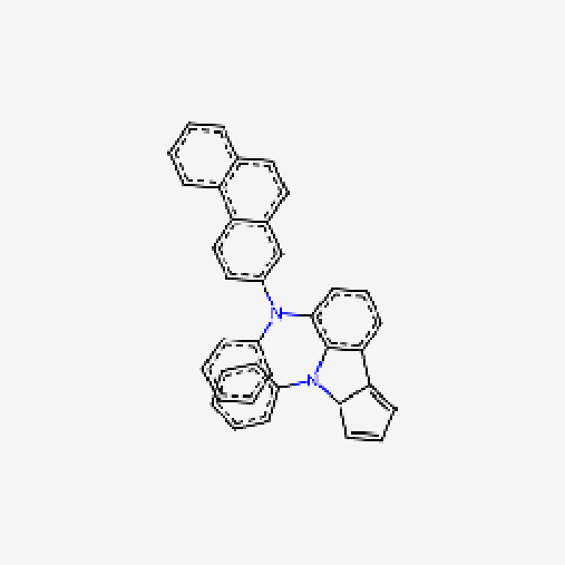 C1=CC2C(=C1)c1cccc(N(c3ccccc3)c3ccc4c(ccc5ccccc54)c3)c1N2c1ccccc1